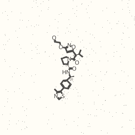 Cc1ncsc1-c1ccc([C@H](C)NC(=O)[C@@H]2CCCN2C(=O)[C@@H](c2cc(OCC=O)no2)C(C)C)cc1